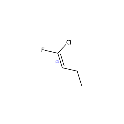 CC/C=C(/F)Cl